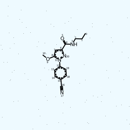 CCCNC(=O)c1cc(OC)n(-c2ccc(C#N)cc2)n1